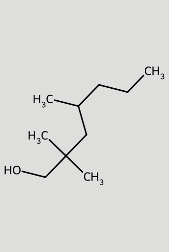 CCCC(C)CC(C)(C)CO